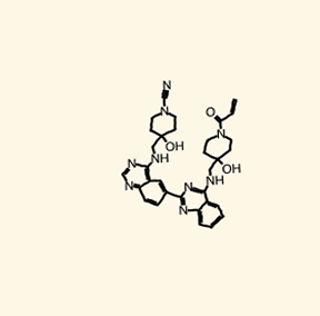 C=CC(=O)N1CCC(O)(CNc2nc(-c3ccc4ncnc(NCC5(O)CCN(C#N)CC5)c4c3)nc3ccccc23)CC1